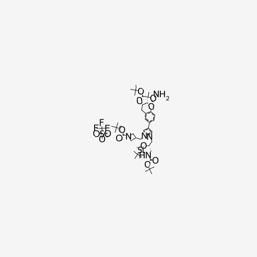 CC(C)(C)OC(=O)NC[C@@H](Cn1cc(-c2ccc3c(c2)CC[C@H](C(C)(ON)C(=O)OC(C)(C)C)O3)c[n+]1CC1CN(C(=O)OC(C)(C)C)C1)O[Si](C)(C)C(C)(C)C.O=S(=O)([O-])C(F)(F)F